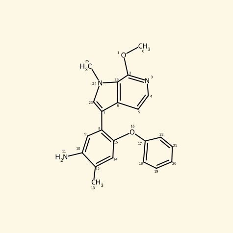 COc1nccc2c(-c3cc(N)c(C)cc3Oc3ccccc3)cn(C)c12